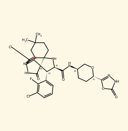 CC1(C)CCC2(CC1)N[C@@H](C(=O)N[C@@H]1CC[C@@H](c3n[nH]c(=O)o3)OC1)[C@H](c1cccc(Cl)c1F)[C@]21C(=O)Nc2nc(Cl)ccc21